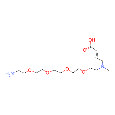 CN(CC=CC(=O)O)CCOCCOCCOCCOCCN